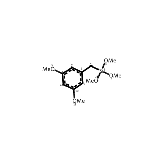 COc1cc(C[Si](OC)(OC)OC)cc(OC)c1